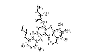 CCNC[C@H]1O[C@H](O[C@H]2[C@H](O)[C@@H](O[C@H]3O[C@H](CO)[C@@H](O)[C@H](N)[C@H]3O)[C@H](NC(=O)[C@@H](O)CN)C[C@@H]2N)[C@H](N)C[C@@H]1O